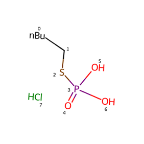 CCCCCSP(=O)(O)O.Cl